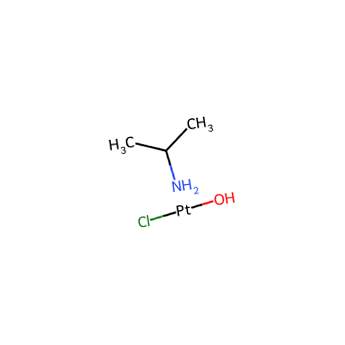 CC(C)N.[OH][Pt][Cl]